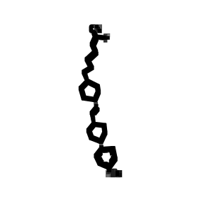 CCCCc1ccc([C@H]2CC[C@H](/C=C/[C@H]3CC[C@H](CCC=CC=C(F)C#N)CC3)CC2)cc1